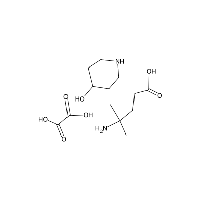 CC(C)(N)CCC(=O)O.O=C(O)C(=O)O.OC1CCNCC1